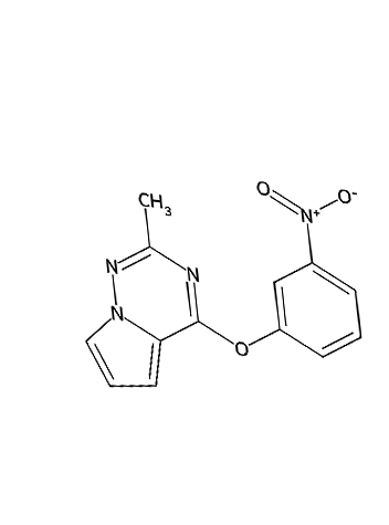 Cc1nc(Oc2cccc([N+](=O)[O-])c2)c2cccn2n1